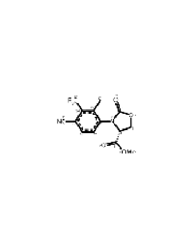 COC(=O)[C@H]1COC(=O)N1c1ccc(C#N)c(C(F)(F)F)c1C